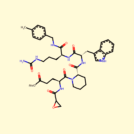 COC(=O)CC[C@H](NC(=O)C1CO1)C(=O)N1CCCC[C@H]1C(=O)N[C@@H](Cc1c[nH]c2ccccc12)C(=O)N[C@@H](CCCNC(N)=O)C(=O)NCc1ccc(C)cc1